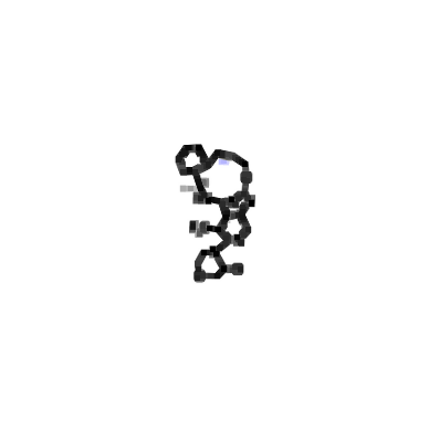 C[C@H]1Nc2nc(nc3cnc(N4CCOCC4=O)c(C(F)(F)F)c23)OC/C=C\c2ccccc21